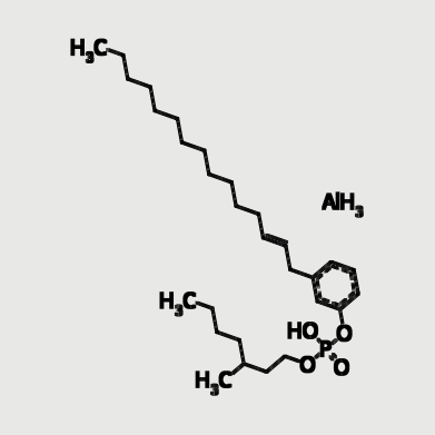 CCCCCCCCCCCCC=CCc1cccc(OP(=O)(O)OCCC(C)CCCC)c1.[AlH3]